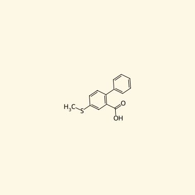 CSc1ccc(-c2ccccc2)c(C(=O)O)c1